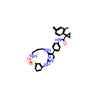 Cc1ccc(C2(C(=O)Nc3ccc(-c4cnc5nc4NCCCNS(=O)(=O)c4cccc(c4)N5)cc3)CC2)c(C)c1